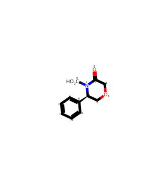 O=C(O)N1C(=O)COC[C@H]1c1ccccc1